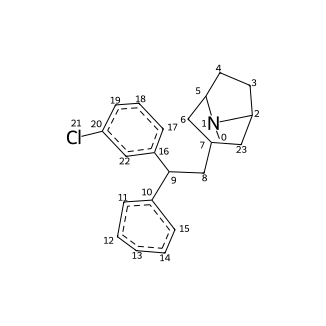 CN1C2CCC1CC(CC(c1ccccc1)c1cccc(Cl)c1)C2